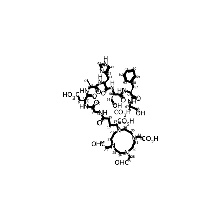 C[C@H](NC(=O)[C@H](CC(=O)O)NC(=O)CNC(=O)CCC(C(=O)O)N1CCN(CC=O)CCN(CC=O)CCN(CC(=O)O)CC1)C(=O)N[C@@H](Cc1c[nH]cn1)C(=O)N[C@@H](CO)C(=O)N[C@@H](Cc1ccccc1)C(=O)N[C@@H](CO)C(=O)O